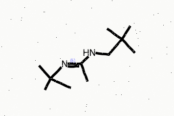 C/C(=N\C(C)(C)C)NCC(C)(C)C